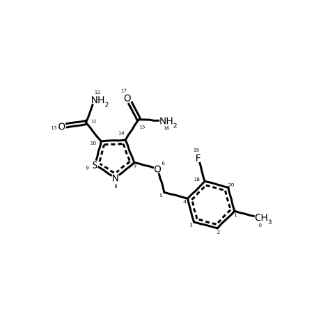 Cc1ccc(COc2nsc(C(N)=O)c2C(N)=O)c(F)c1